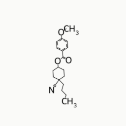 CCCCC1(C#N)CCC(OC(=O)c2ccc(OC)cc2)CC1